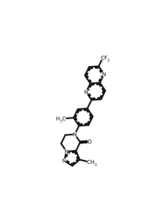 Cc1cc(-c2ccc3nc(C(F)(F)F)ccc3n2)ccc1N1CCn2ncc(C)c2C1=O